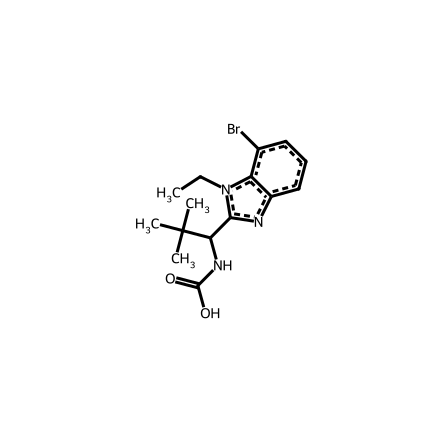 CCn1c(C(NC(=O)O)C(C)(C)C)nc2cccc(Br)c21